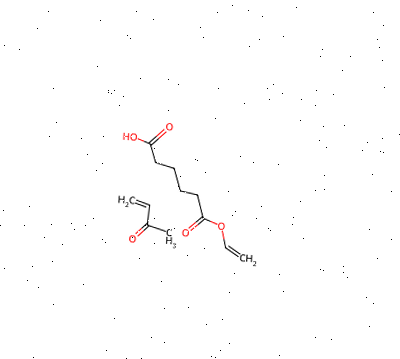 C=CC(C)=O.C=COC(=O)CCCCC(=O)O